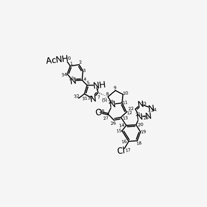 CC(=O)Nc1ccc(-c2[nH]c([C@@H]3CCc4cc(-c5cc(Cl)ccc5-n5cnnn5)cc(=O)n43)nc2C)nc1